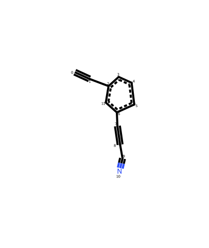 C#Cc1cccc(C#CC#N)c1